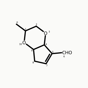 CC1COC2C(C=O)=CCC2O1